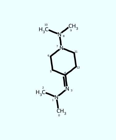 CN(C)N=C1CCN(N(C)C)CC1